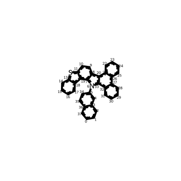 c1ccc2cc(-n3c4c(ccc5sc6ccccc6c54)c4c5ccccc5c5ccccc5c43)ccc2c1